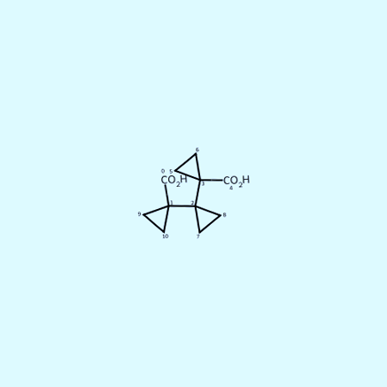 O=C(O)C1(C2(C3(C(=O)O)CC3)CC2)CC1